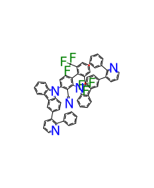 N#Cc1c(-n2c3ccccc3c3cc(-c4cccnc4-c4ccccc4)ccc32)ccc(-c2c(C(F)(F)F)cccc2C(F)(F)F)c1-n1c2ccccc2c2cc(-c3cccnc3-c3ccccc3)ccc21